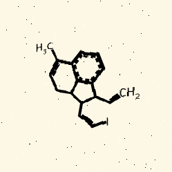 C=CC1c2cccc3c2C(CC=C3C)C1/C=C\I